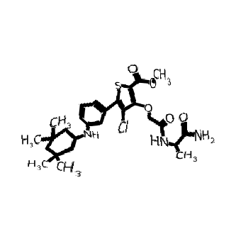 COC(=O)c1sc(-c2cccc(NC3CC(C)(C)CC(C)(C)C3)c2)c(Cl)c1OCC(=O)NC(C)C(N)=O